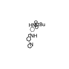 CC(C)(C)S(=O)(=O)N[C@H]1CC[C@H](c2cc3ccc(-c4ccccn4)cc3[nH]2)CC1